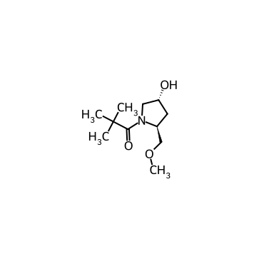 COC[C@@H]1C[C@@H](O)CN1C(=O)C(C)(C)C